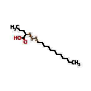 CCCCCCCCCCCCSSSC(CCC)C(=O)O